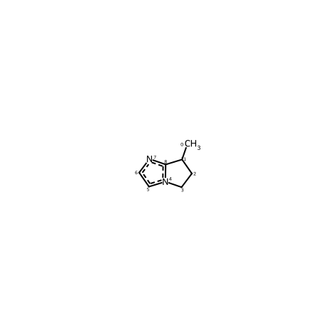 C[C]1CCn2ccnc21